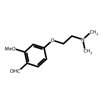 COc1cc(OCCN(C)C)ccc1C=O